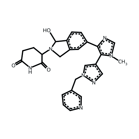 Cn1cnc(-c2ccc3c(c2)CN(C2CCC(=O)NC2=O)C3O)c1-c1cnn(Cc2cccnc2)c1